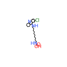 O=C(O)NCCCCCCCCCCNc1c2c(nc3ccc(Cl)cc13)CCCC2